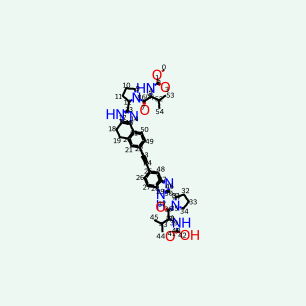 COC(=O)N[C@H](C(=O)N1CCCC1c1nc2c([nH]1)CCc1cc(C#Cc3ccc4[nH]c([C@@H]5CCCN5C(=O)[C@@H](NC(=O)O)C(C)C)nc4c3)ccc1-2)C(C)C